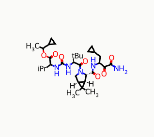 CC(C)C(NC(=O)N[C@H](C(=O)N1C[C@H]2[C@@H]([C@H]1C(=O)NC(CC1CC1)C(=O)C(N)=O)C2(C)C)C(C)(C)C)C(=O)OC(C)C1CC1